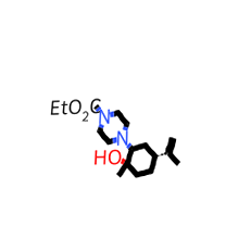 C=C(C)[C@@H]1CCC(C)(O)C(N2CCN(C(=O)OCC)CC2)C1